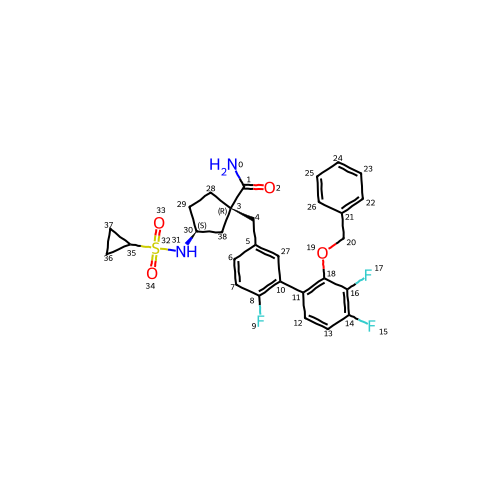 NC(=O)[C@@]1(Cc2ccc(F)c(-c3ccc(F)c(F)c3OCc3ccccc3)c2)CC[C@H](NS(=O)(=O)C2CC2)C1